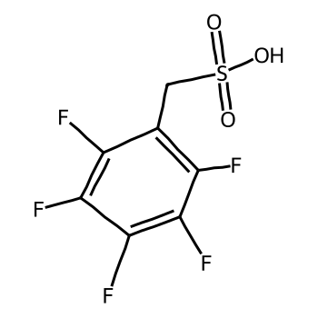 O=S(=O)(O)Cc1c(F)c(F)c(F)c(F)c1F